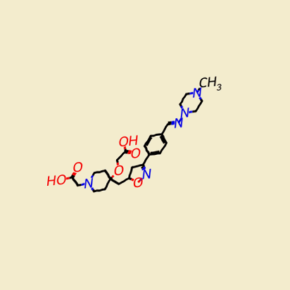 CN1CCN(N=Cc2ccc(C3=NOC(CC4(OCC(=O)O)CCN(CC(=O)O)CC4)C3)cc2)CC1